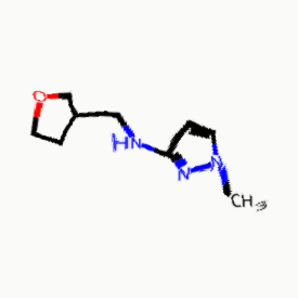 Cn1ccc(NCC2CCOC2)n1